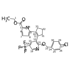 CCOC(=O)c1cccc(C2=C(c3cc(C(F)(F)F)cnc3OCc3ccc(Cl)cc3)CCC2)n1